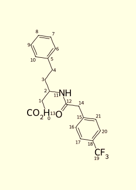 O=C(O)CC(CCc1ccccc1)NC(=O)Cc1ccc(C(F)(F)F)cc1